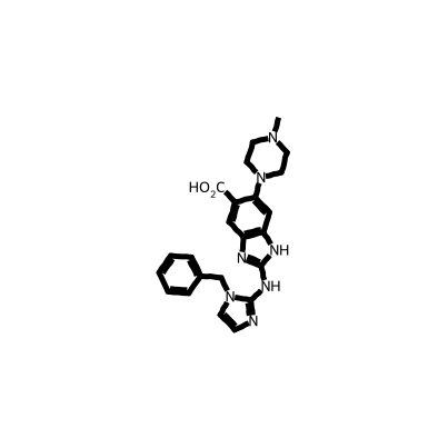 CN1CCN(c2cc3[nH]c(Nc4nccn4Cc4ccccc4)nc3cc2C(=O)O)CC1